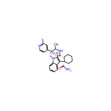 Cc1cc(CC(C#N)NC(=O)[C@@H]2CCCC[C@@]2(C(N)=O)c2c(C(=O)O)n(C)c3ccccc23)ccn1